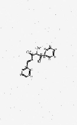 CC(=O)C(C(=O)/C=C/c1ccccc1)C(=O)c1ccccc1